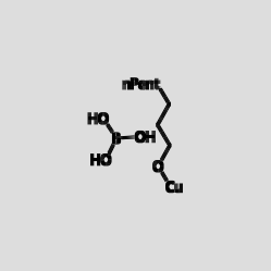 CCCCCCCC[O][Cu].OB(O)O